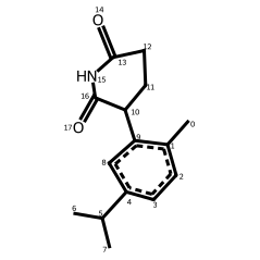 Cc1ccc(C(C)C)cc1C1CCC(=O)NC1=O